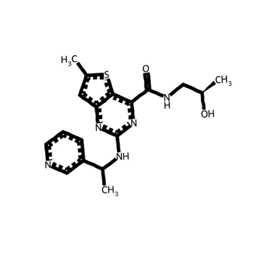 Cc1cc2nc(NC(C)c3cccnc3)nc(C(=O)NC[C@@H](C)O)c2s1